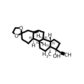 C#C[C@]1(O)CC[C@H]2[C@@H]3CC=C4CC5(CC[C@@H]4[C@H]3CC[C@@]21C)OCCO5